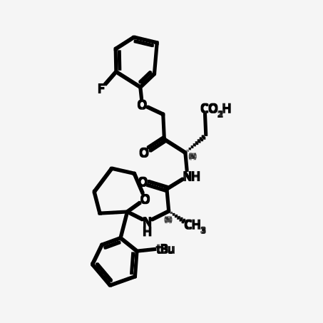 C[C@H](NC1(c2ccccc2C(C)(C)C)CCCCO1)C(=O)N[C@@H](CC(=O)O)C(=O)COc1ccccc1F